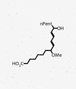 CCCCCC(O)C=CC=CC(CCCCCCC(=O)O)OC